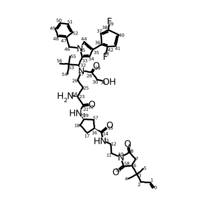 C=CCC(C)(C)C1CC(=O)N(CCNC(=O)[C@H]2CC[C@H](NC(=O)[C@@H](N)CCN(C(=O)CO)[C@@H](c3cc(-c4cc(F)ccc4F)cn3Cc3ccccc3)C(C)(C)C)C2)C1=O